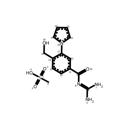 CS(=O)(=O)O.NC(N)=NC(=O)c1ccc(CO)c(-n2cccc2)c1